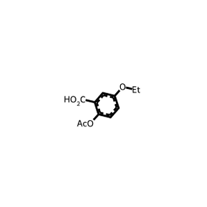 CCOc1ccc(OC(C)=O)c(C(=O)O)c1